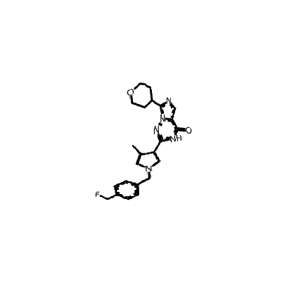 CC1CN(Cc2ccc(CF)cc2)CC1c1nn2c(C3CCOCC3)ncc2c(=O)[nH]1